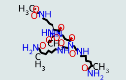 COC(=O)NCCCC[C@H](NC(=O)OC)C(=O)NCCC(=O)N(CC(=O)NCCCCC(C)C(N)=O)CC(=O)NCCCCC(C)C(N)=O